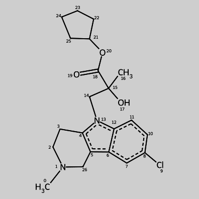 CN1CCc2c(c3cc(Cl)ccc3n2CC(C)(O)C(=O)OC2CCCC2)C1